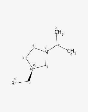 CC(C)N1CC[C@H](CBr)C1